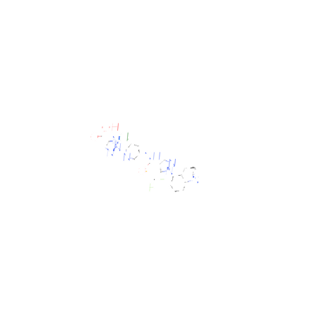 O=C(O)c1cnn(-c2ncc(NC(=O)c3cnn(-c4cccc5ncccc45)c3C(F)(F)F)cc2Cl)n1